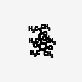 CC1=C(C)C(=O)C(C(C)(C)CC(=O)C(C)C)=C(C)C1=O